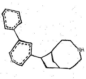 c1ccc(-c2cncc(C3CC4CCNCCC3C4)c2)cc1